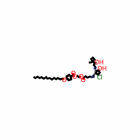 CCCCCCCCCCCCCCCOc1ccc(C(=O)OCCOC(=O)CCC/C=C\C[C@@H]2[C@H](/C=C/C[C@H](O)C3(CC)CCC3)[C@H](O)C[C@@H]2Cl)cc1